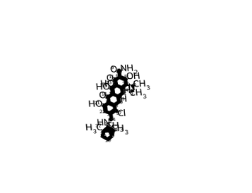 CN(C)[C@@H]1C(O)=C(C(N)=O)C(=O)[C@@]2(O)C(O)=C3C(=O)c4c(O)cc(CN[C@H]5CC6CCC5(C)C6(C)C)c(Cl)c4C[C@H]3C[C@@H]12